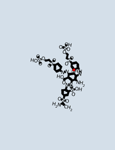 C=C(N)S(=O)(=O)c1ccc(N=Nc2c(N)c(/N=N\c3ccc(S(=O)(=O)CCOS(=O)(=O)O)cc3)c(N)c(N=Nc3ccc(S(=O)(=O)CCOS(=O)(=O)O)cc3)c2C(=O)O)c(S(=O)(=O)O)c1